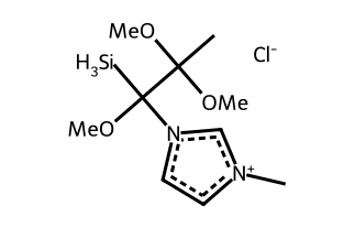 COC(C)(OC)C([SiH3])(OC)n1cc[n+](C)c1.[Cl-]